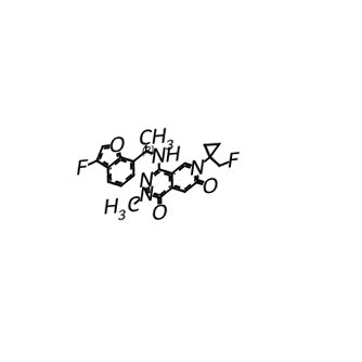 C[C@@H](Nc1nn(C)c(=O)c2cc(=O)n(C3(CF)CC3)cc12)c1cccc2c(F)coc12